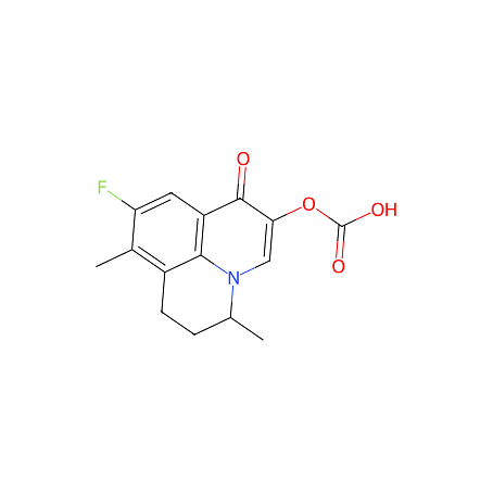 Cc1c(F)cc2c(=O)c(OC(=O)O)cn3c2c1CCC3C